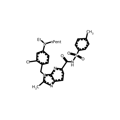 CCCCCN(CC)c1ccc(Cn2c(C)nc3ccc(C(=O)NS(=O)(=O)c4ccc(C)cc4)nc32)c(Cl)c1